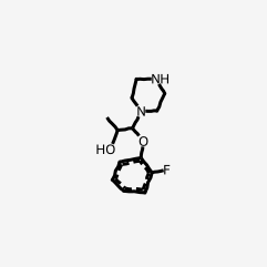 CC(O)C(Oc1ccccc1F)N1CCNCC1